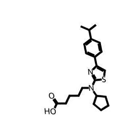 CC(C)c1ccc(-c2csc(N(CCCCC(=O)O)C3CCCC3)n2)cc1